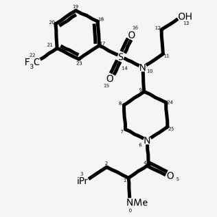 CNC(CC(C)C)C(=O)N1CCC(N(CCO)S(=O)(=O)c2cccc(C(F)(F)F)c2)CC1